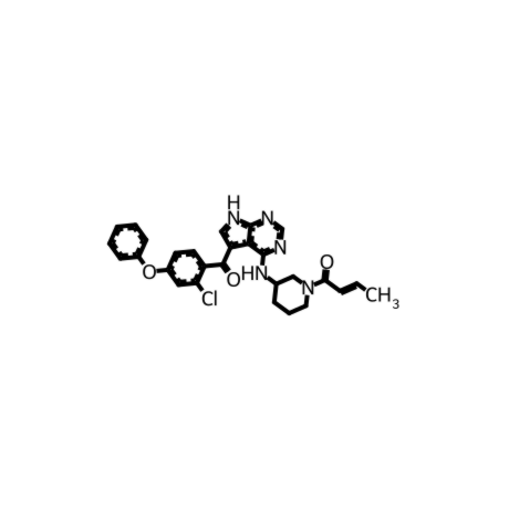 C/C=C/C(=O)N1CCCC(Nc2ncnc3[nH]cc(C(=O)c4ccc(Oc5ccccc5)cc4Cl)c23)C1